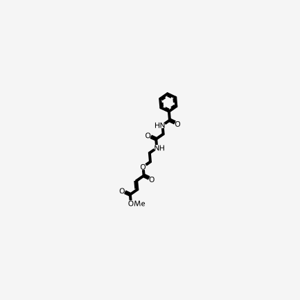 COC(=O)/C=C/C(=O)OCCNC(=O)CNC(=O)c1ccccc1